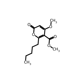 CCCCCc1oc(=O)cc(OC)c1C(=O)OC